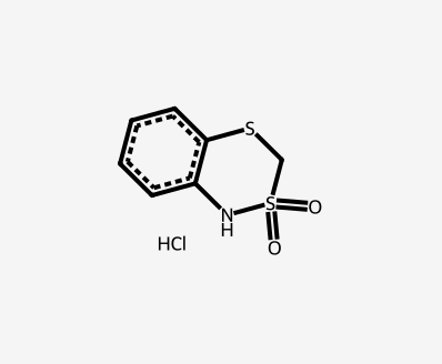 Cl.O=S1(=O)CSc2ccccc2N1